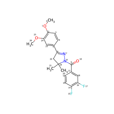 COc1ccc(C2=NN(C(=O)c3ccc(F)c(F)c3)C(C)(C)C2)cc1OC